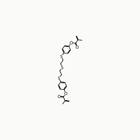 C=C(C)C(=O)Oc1ccc(SCCSCCSc2ccc(OC(=O)C(=C)C)cc2)cc1